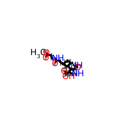 COC(=O)CCNC(=O)/C=C/c1ccc2[nH]c(=O)c3[nH]cc(C(=O)O)c3c2c1